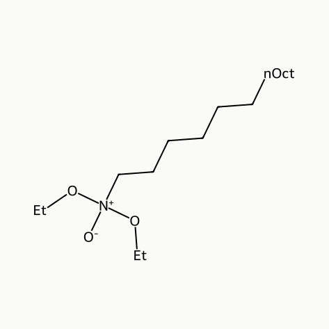 CCCCCCCCCCCCCC[N+]([O-])(OCC)OCC